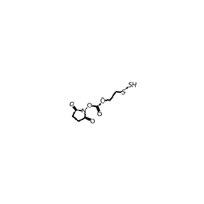 O=C(OCCSS)ON1C(=O)CCC1=O